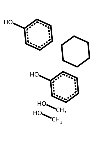 C1CCCCC1.CO.CO.Oc1ccccc1.Oc1ccccc1